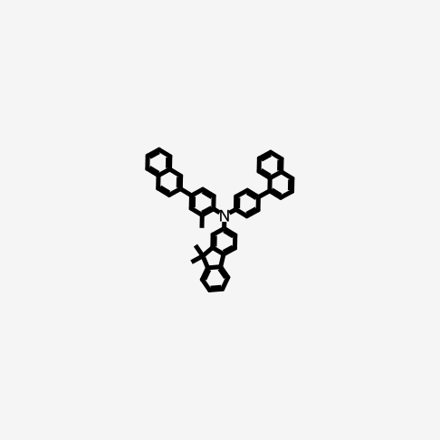 Cc1cc(-c2ccc3ccccc3c2)ccc1N(c1ccc(-c2cccc3ccccc23)cc1)c1ccc2c(c1)C(C)(C)c1ccccc1-2